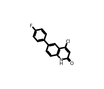 O=c1cc(Cl)c2cc(-c3ccc(F)cc3)ccc2[nH]1